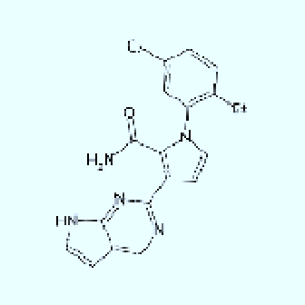 CCc1ccc(Cl)cc1-n1ccc(-c2ncc3cc[nH]c3n2)c1C(N)=O